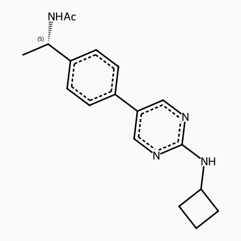 CC(=O)N[C@@H](C)c1ccc(-c2cnc(NC3CCC3)nc2)cc1